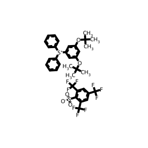 CC(C)(C)Oc1cc(OC(C)(C)C)cc([S+](c2ccccc2)c2ccccc2)c1.O=S(=O)([O-])c1c(C(F)(F)F)cc(C(F)(F)F)cc1C(F)(F)F